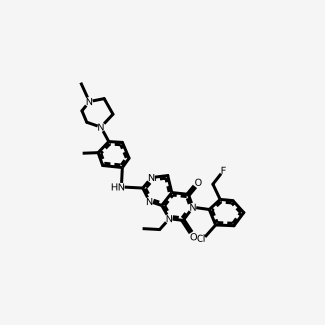 CCn1c(=O)n(-c2c(Cl)cccc2CF)c(=O)c2cnc(Nc3ccc(N4CCN(C)CC4)c(C)c3)nc21